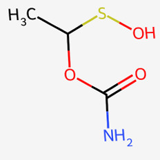 CC(OC(N)=O)SO